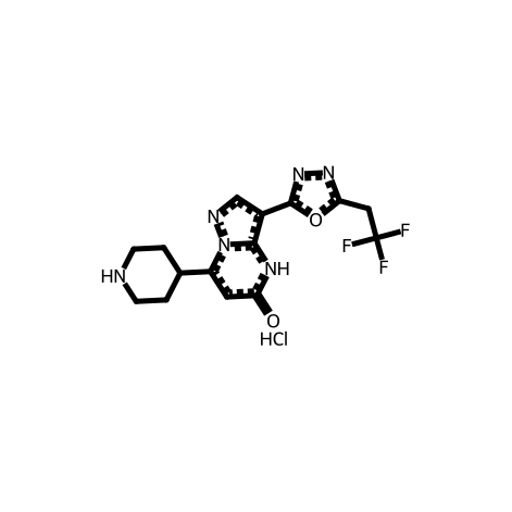 Cl.O=c1cc(C2CCNCC2)n2ncc(-c3nnc(CC(F)(F)F)o3)c2[nH]1